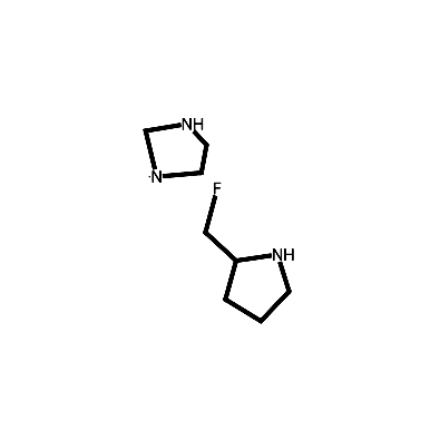 C1CNC[N]1.FCC1CCCN1